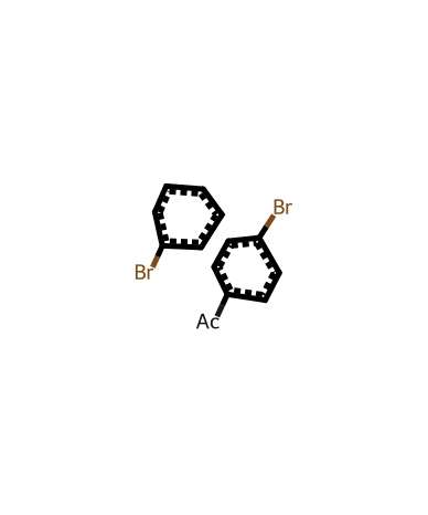 Brc1ccccc1.CC(=O)c1ccc(Br)cc1